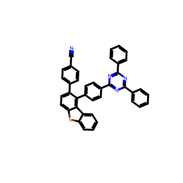 N#Cc1ccc(-c2ccc3sc4ccccc4c3c2-c2ccc(-c3nc(-c4ccccc4)nc(-c4ccccc4)n3)cc2)cc1